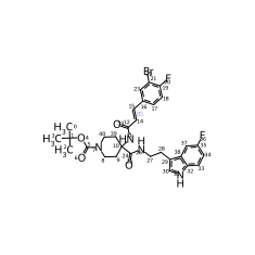 CC(C)(C)OC(=O)N1CCC(NC(=O)/C=C/c2ccc(F)c(Br)c2)(C(=O)NCCc2c[nH]c3ccc(F)cc23)CC1